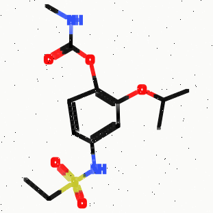 CCS(=O)(=O)Nc1ccc(OC(=O)NC)c(OC(C)C)c1